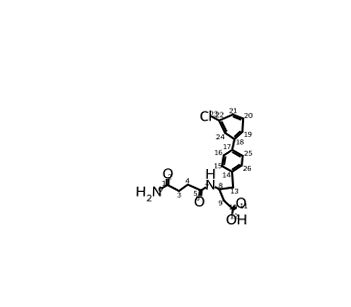 NC(=O)CCC(=O)NC(CC(=O)O)Cc1ccc(-c2cccc(Cl)c2)cc1